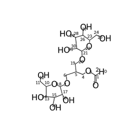 [2H]C(=O)OCC(COC1OC(CO)C(O)C(O)C1O)COC1OC(CO)C(O)C(O)C1O